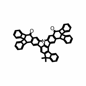 CC1(C)c2ccccc2-c2c1cc1c3cc4c(cc3n3c5cc6c(cc5c2c13)C1c2ccccc2C12c1ccccc1C2C6=O)C(=O)C1c2ccccc2C12c1ccccc1C42